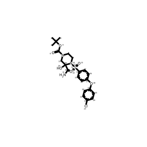 CC(C)(C)OC(=O)N1CCN(S(=O)(=O)c2ccc(Oc3ccc(Cl)cc3)cc2)C(O)(C(N)=O)C1